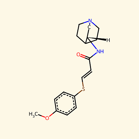 COc1ccc(S/C=C/C(=O)N[C@H]2CN3CCC2CC3)cc1